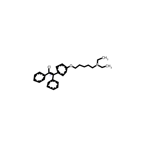 CCN(CC)CCCCCOc1ccc(/C(=C(\Cl)c2ccccc2)c2ccccc2)cc1